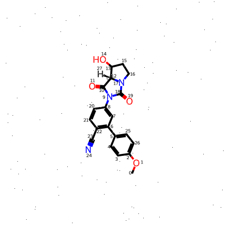 COc1ccc(-c2cc(N3C(=O)[C@@H]4C(O)CCN4C3=O)ccc2C#N)cc1